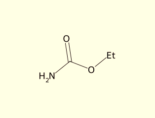 [CH2]COC(N)=O